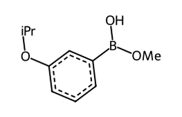 COB(O)c1cccc(OC(C)C)c1